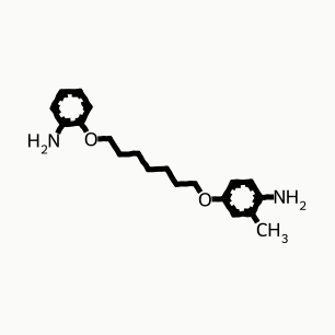 Cc1cc(OCCCCCCCOc2ccccc2N)ccc1N